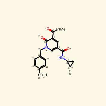 CNC(=O)c1cc(C(=O)N[C@H]2C[C@@H]2C)cn(Cc2ccc(C(=O)O)cc2)c1=O